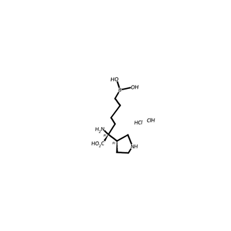 Cl.Cl.N[C@@](CCCCB(O)O)(C(=O)O)[C@@H]1CCNC1